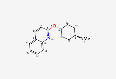 CN[C@H]1CC[C@H](Oc2ccc3ccccc3n2)CC1